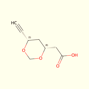 C#C[C@@H]1C[C@H](CC(=O)O)OCO1